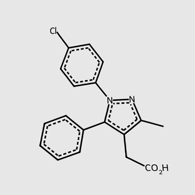 Cc1nn(-c2ccc(Cl)cc2)c(-c2ccccc2)c1CC(=O)O